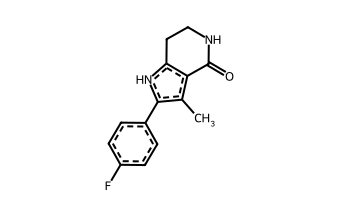 Cc1c(-c2ccc(F)cc2)[nH]c2c1C(=O)NCC2